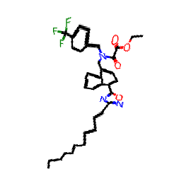 CCCCCCCCCCCc1noc(-c2ccc(CN(Cc3ccc(C(F)(F)F)cc3)C(=O)C(=O)OCC)c3ccccc23)n1